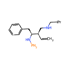 C=C[C@H](CNCC(C)C)[C@H](Cc1ccccc1)NP